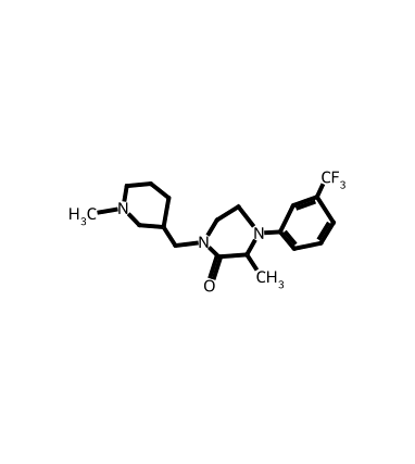 CC1C(=O)N(CC2CCCN(C)C2)CCN1c1cccc(C(F)(F)F)c1